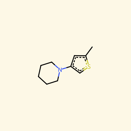 Cc1cc(N2CCCCC2)cs1